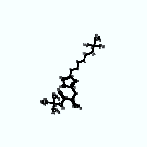 C=C(Cc1nc(CCCCCCC(C)(F)F)no1)C(=O)OC(C)(C)C